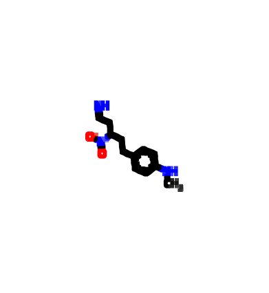 CNc1ccc(CCC(CC=N)[N+](=O)[O-])cc1